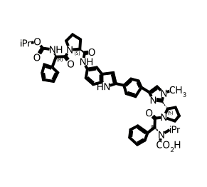 CC(C)OC(=O)N[C@@H](C(=O)N1CCC[C@H]1C(=O)Nc1ccc2[nH]c(-c3ccc(-c4cn(C)c([C@@H]5CCCN5C(=O)[C@@H](c5ccccc5)N(C(=O)O)C(C)C)n4)cc3)cc2c1)c1ccccc1